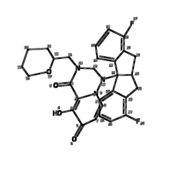 O=C1c2c(O)c(=O)ccn2N(C23c4cccc(F)c4CC2Cc2c(F)cccc23)CN1CC1CCCCO1